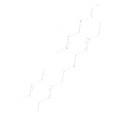 CCCCN1CCn2cc(C(=O)NCc3c(F)cc(F)c(F)c3F)c(=O)c(O)c2C1=O